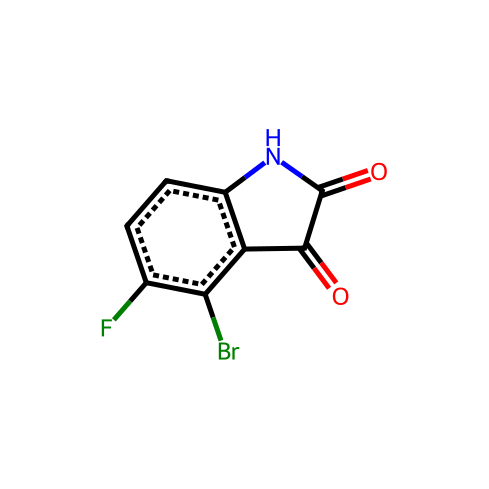 O=C1Nc2ccc(F)c(Br)c2C1=O